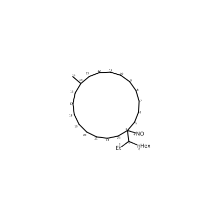 CCCCCCC(CC)C1(N=O)CCCCCCCCCC(C)CCCCCCCC1